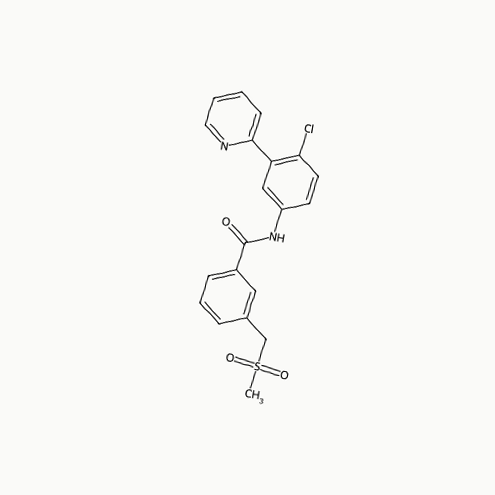 CS(=O)(=O)Cc1cccc(C(=O)Nc2ccc(Cl)c(-c3ccccn3)c2)c1